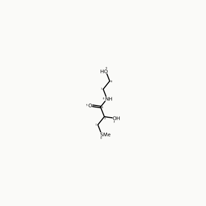 CSCC(O)C(=O)NCCO